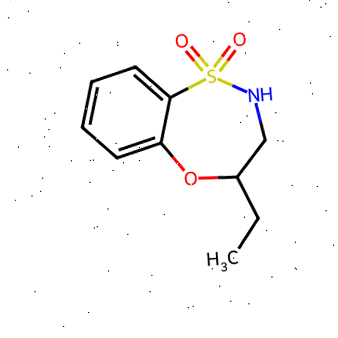 CCC1CNS(=O)(=O)c2ccccc2O1